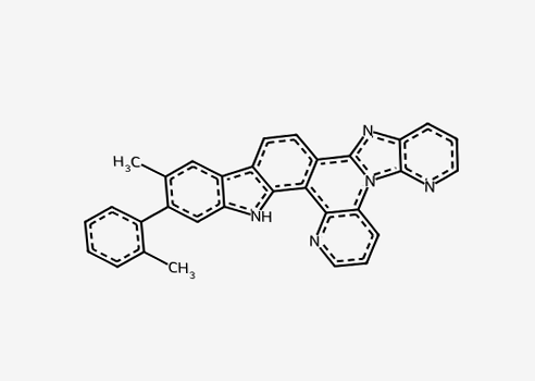 Cc1ccccc1-c1cc2[nH]c3c(ccc4c3c3ncccc3n3c5ncccc5nc43)c2cc1C